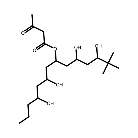 CCCC(O)CC(O)CC(CC(O)CC(O)C(C)(C)C)OC(=O)CC(C)=O